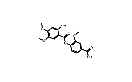 COc1cc(O)c(C(=O)Oc2ccc(C(=O)O)cc2OC)cc1OC